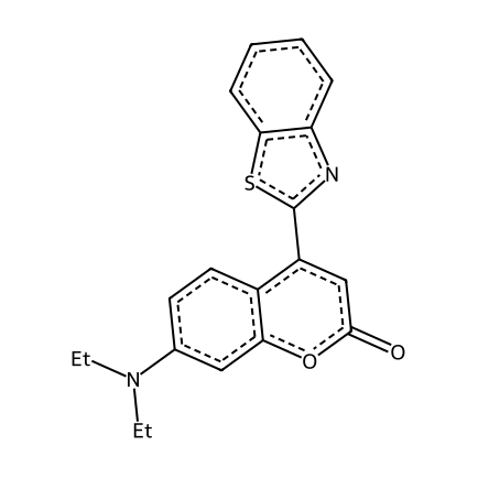 CCN(CC)c1ccc2c(-c3nc4ccccc4s3)cc(=O)oc2c1